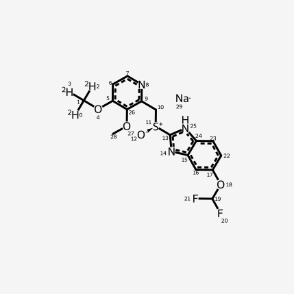 [2H]C([2H])([2H])Oc1ccnc(C[S@+]([O-])c2nc3cc(OC(F)F)ccc3[nH]2)c1OC.[Na]